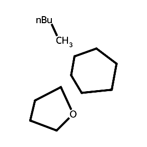 C1CCCCC1.C1CCOC1.CCCCC